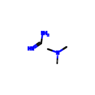 CN(C)C.N=CN